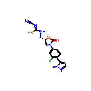 Cn1nccc1-c1ccc(N2C[C@H](CN/C(S)=N/C#N)OC2=O)cc1F